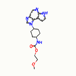 COCCOC(=O)NC1CCC(n2cnc3cnc4[nH]ccc4c32)CC1